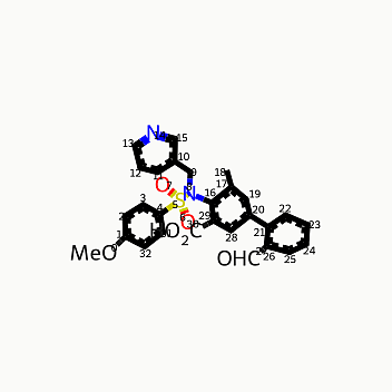 COc1ccc(S(=O)(=O)N(Cc2cccnc2)c2c(C)cc(-c3ccccc3C=O)cc2C(=O)O)cc1